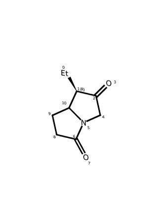 CC[C@H]1C(=O)CN2C(=O)CCC12